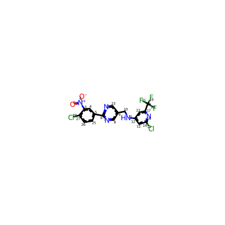 O=[N+]([O-])c1cc(-c2ncc(CNc3cc(Cl)nc(C(F)(F)F)c3)cn2)ccc1Cl